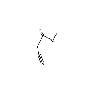 N#CCC(=O)OI